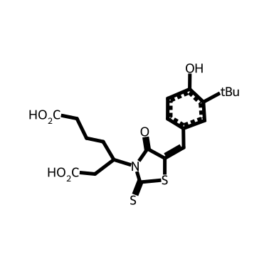 CC(C)(C)c1cc(C=C2SC(=S)N(C(CCCC(=O)O)CC(=O)O)C2=O)ccc1O